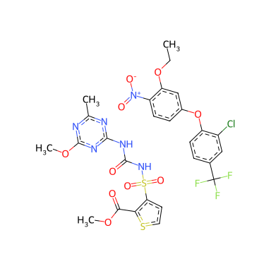 CCOc1cc(Oc2ccc(C(F)(F)F)cc2Cl)ccc1[N+](=O)[O-].COC(=O)c1sccc1S(=O)(=O)NC(=O)Nc1nc(C)nc(OC)n1